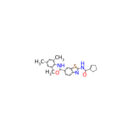 Cc1cc(C)c(NC(=O)c2ccc3nc(NC(=O)C4=CCCC4)sc3c2)c(C)c1